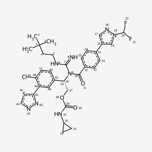 CC(C)(C)CCNC(=N)N(C(=O)c1ccc(-c2cnn(C(F)F)c2)cc1)[C@H](COC(=O)NC1CC1)c1ccc(Cl)c(-c2nncs2)c1